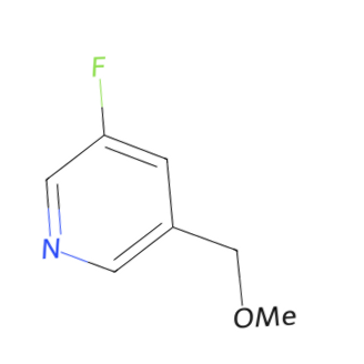 [CH2]OCc1cncc(F)c1